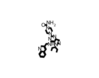 CCC(CC)n1ncc2nc(N3CCN(C(N)=O)CC3)nc(NCc3cnc4ccccc4c3)c21